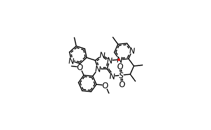 COc1cccc(OC)c1-n1c(-c2cncc(C)c2)nn(C)/c1=N\S(=O)(=O)C(C)C(C)c1ncc(C)cn1